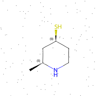 C[C@H]1C[C@@H](S)CCN1